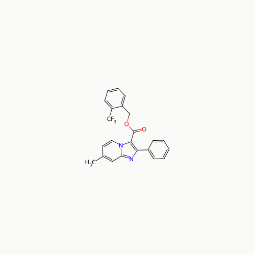 Cc1ccn2c(C(=O)OCc3ccccc3C(F)(F)F)c(-c3ccccc3)nc2c1